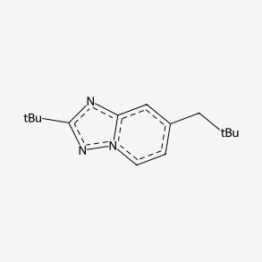 CC(C)(C)Cc1ccn2nc(C(C)(C)C)nc2c1